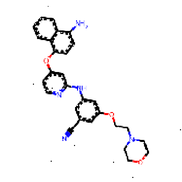 N#Cc1cc(Nc2cc(Oc3ccc(N)c4ccccc34)ccn2)cc(OCCN2CCOCC2)c1